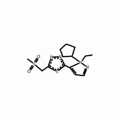 CC[N+]1(C2CCCC2)N=CC=C1c1nnc(CS(C)(=O)=O)s1